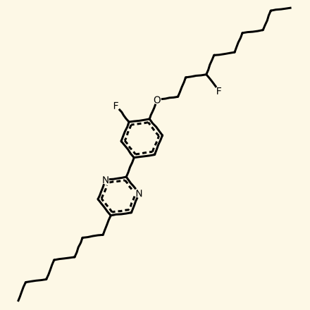 CCCCCCCc1cnc(-c2ccc(OCCC(F)CCCCCC)c(F)c2)nc1